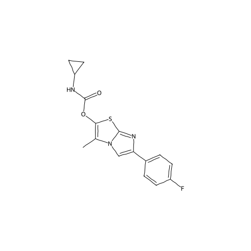 Cc1c(OC(=O)NC2CC2)sc2nc(-c3ccc(F)cc3)cn12